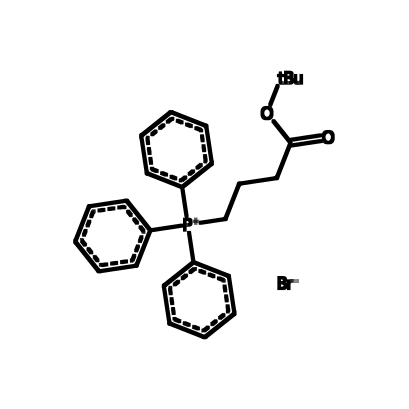 CC(C)(C)OC(=O)CCC[P+](c1ccccc1)(c1ccccc1)c1ccccc1.[Br-]